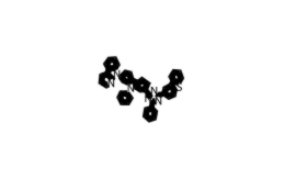 c1ccc(-c2nc(-c3ccc4sc5ccccc5c4c3)nc(-c3ccc4c5ccc(-n6c7ccccc7c7cccnc76)cc5n(-c5ccccc5)c4c3)n2)cc1